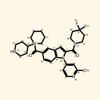 O=C(c1cc2cc(C(=O)[N+]3(C4CCNCC4)CCCCC3)ccc2n1-c1ccnc(Cl)c1)N1CCC(F)(F)CC1